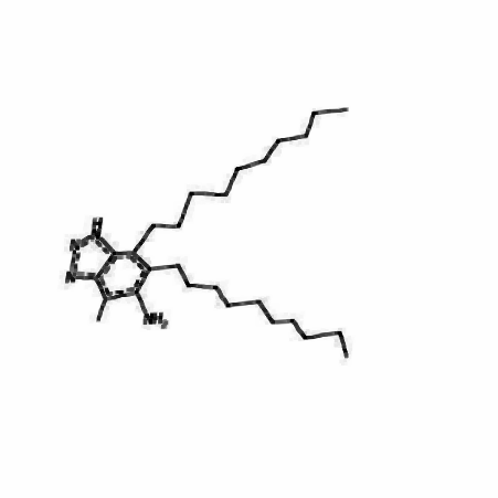 CCCCCCCCCCc1c(N)c(C)c2nn[nH]c2c1CCCCCCCCCC